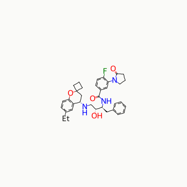 CCc1ccc2c(c1)[C@@H](NC[C@@H](O)[C@H](Cc1ccccc1)NC(=O)c1ccc(F)c(N3CCCC3=O)c1)CC1(CCC1)O2